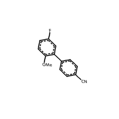 COc1ccc(F)cc1-c1ccc(C#N)cc1